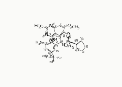 COc1cc2nc(C)nc(N)c2c(C(C)c2cc(N)cc(C(F)(F)F)c2)c1OC[C@H]1CCCO1